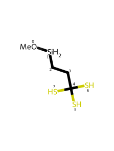 CO[SiH2]CCC(S)(S)S